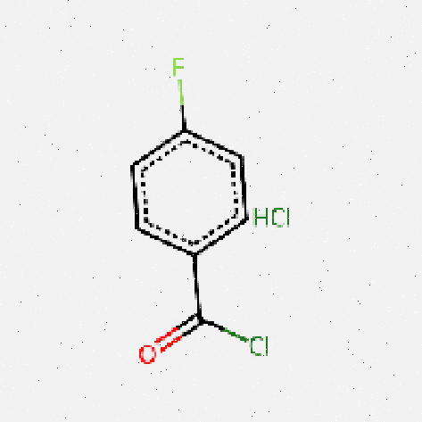 Cl.O=C(Cl)c1ccc(F)cc1